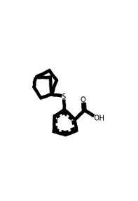 O=C(O)c1ccccc1SC12CCC(CC1)C2